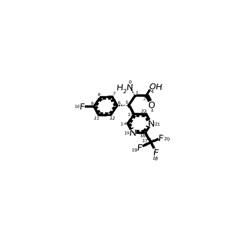 N[C@H](C(=O)O)[C@@H](c1ccc(F)cc1)c1cnc(C(F)(F)F)nc1